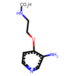 Nc1cnccc1OCCNC(=O)O